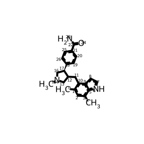 Cc1cc(C)c2[nH]ccc2c1CC1CN(C)C[C@H]1c1ccc(C(N)=O)cc1